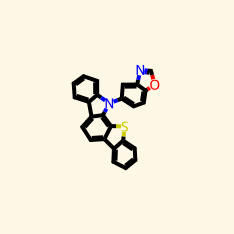 c1ccc2c(c1)sc1c2ccc2c3ccccc3n(-c3ccc4ocnc4c3)c21